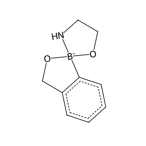 c1ccc2c(c1)CO[B-]21NCCO1